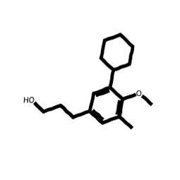 COc1c(C)cc(CCCO)cc1C1CCCCC1